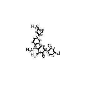 Cc1cc(-c2ccc3c(c2)c2cc(-c4ccc(Cl)cc4Cl)c(=O)n(C)c2n3C)on1